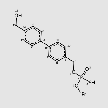 CC(C)OP(=O)(S)OCc1ccc(-c2ccc(CO)cc2)cc1